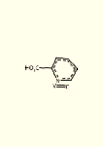 O=C(O)c1ccccn1.[O]=[V]